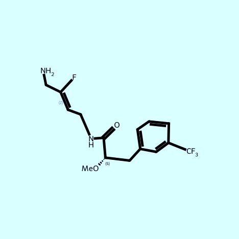 CO[C@@H](Cc1cccc(C(F)(F)F)c1)C(=O)NC/C=C(\F)CN